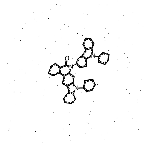 O=c1c2ccccc2c2cc3c4ccccc4n(-c4ccccc4)c3cc2n1-c1ccc2c(c1)c1ccccc1n2-c1ccccc1